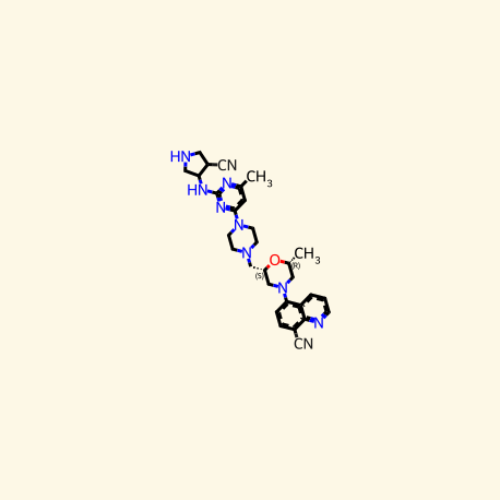 Cc1cc(N2CCN(C[C@H]3CN(c4ccc(C#N)c5ncccc45)C[C@@H](C)O3)CC2)nc(NC2CNCC2C#N)n1